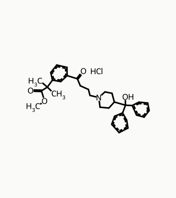 COC(=O)C(C)(C)c1cccc(C(=O)CCCN2CCC(C(O)(c3ccccc3)c3ccccc3)CC2)c1.Cl